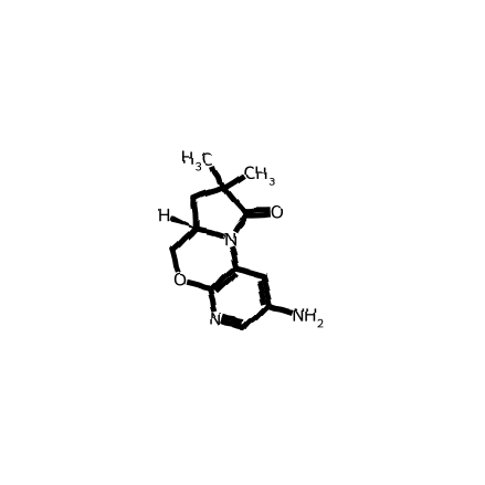 CC1(C)C[C@H]2COc3ncc(N)cc3N2C1=O